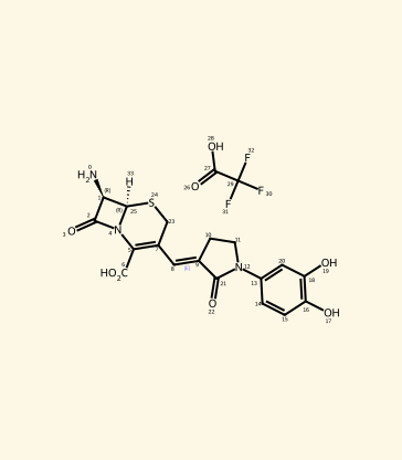 N[C@@H]1C(=O)N2C(C(=O)O)=C(/C=C3\CCN(c4ccc(O)c(O)c4)C3=O)CS[C@H]12.O=C(O)C(F)(F)F